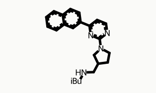 CCC(C)NCC1CCN(c2nccc(-c3ccc4ccccc4c3)n2)C1